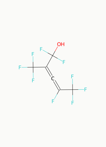 OC(F)(F)C(=C=C(F)C(F)(F)F)C(F)(F)F